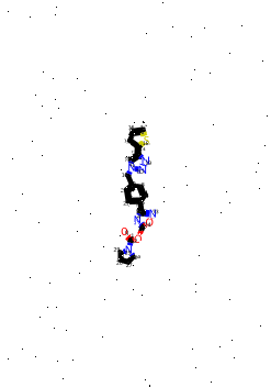 O=C(Oc1nc(-c2ccc(Cn3cc(-c4cccs4)nn3)cc2)no1)N1CCCC1